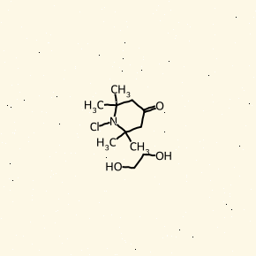 CC1(C)CC(=O)CC(C)(C)N1Cl.OCCO